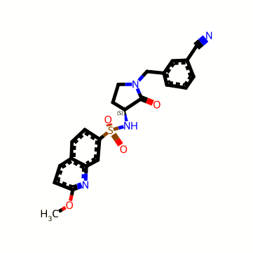 COc1ccc2ccc(S(=O)(=O)N[C@H]3CCN(Cc4cccc(C#N)c4)C3=O)cc2n1